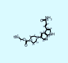 CC(C)(C)COC(=O)N1CCN(c2cnc3[nH]cc(/C=C/C(N)=O)c3c2)CC1